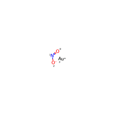 O=N[O-].[Au+]